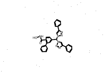 O=C(NO)c1ccc(C(n2cc(-c3ccccc3)nn2)n2cc(-c3ccccc3)nn2)cc1-c1ccccc1